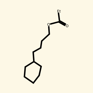 CCC(=O)OCCCCC1CCCCC1